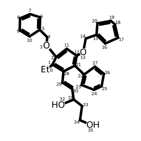 CCc1c(OCc2ccccc2)cc(OCc2ccccc2)c(-c2ccccc2)c1/C=C/C(O)CCO